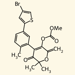 C=C1OC(C)(C)C(=O)C(c2cc(-c3cc(Br)cs3)ccc2C)=C1OC(=O)OC